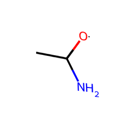 CC(N)[O]